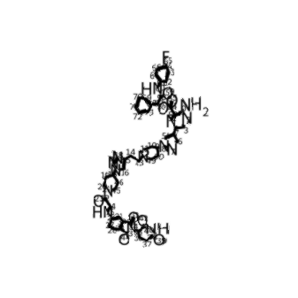 Nc1ncc(-c2cnn(C3CCN(CCc4cn(C5CCN(C(=O)CNc6ccc7c(c6)C(=O)N(C6CCC(=O)NC6=O)C7=O)CC5)nn4)CC3)c2)nc1C(=O)O[C@@H](C(=O)Nc1ccc(F)cc1)c1ccccc1